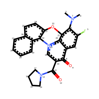 CN(C)c1c(F)cc2c(=O)c(C(=O)N3CCCC3)cn3c2c1Oc1ccc2ccccc2c1-3